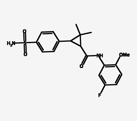 COc1ccc(F)cc1NC(=O)C1C(c2ccc(S(N)(=O)=O)cc2)C1(C)C